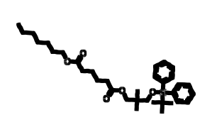 CCCCCCCOC(=O)CCCCC(=O)OCC(C)(C)CO[Si](c1ccccc1)(c1ccccc1)C(C)(C)C